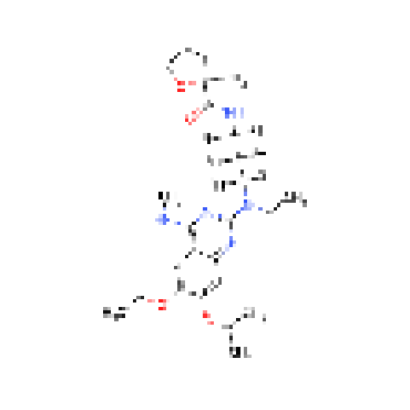 [2H]C([2H])(NC(=O)C1(C)CCCO1)C([2H])([2H])C([2H])([2H])N(CC)c1nc(NC)c2cc(OCC)c(OC(C)C)cc2n1